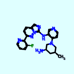 C[C@H]1C[C@@H](N)CN(c2ccncc2Nc2ncc3ccc(-c4ncccc4F)nn23)C1